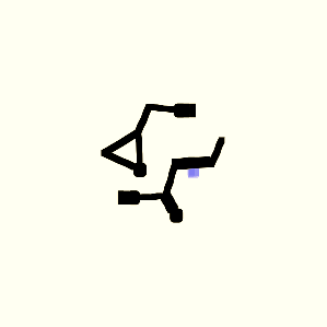 C/C=C/C(=O)O.OCC1CO1